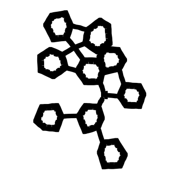 c1ccc(-c2cc(-c3ccccc3)cc(N(c3ccc4c(c3)-c3ccccc3C43c4ccccc4-c4ccccc43)c3ccccc3-c3ccccc3)c2)cc1